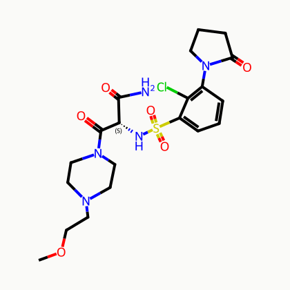 COCCN1CCN(C(=O)[C@@H](NS(=O)(=O)c2cccc(N3CCCC3=O)c2Cl)C(N)=O)CC1